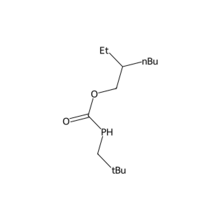 CCCCC(CC)COC(=O)PCC(C)(C)C